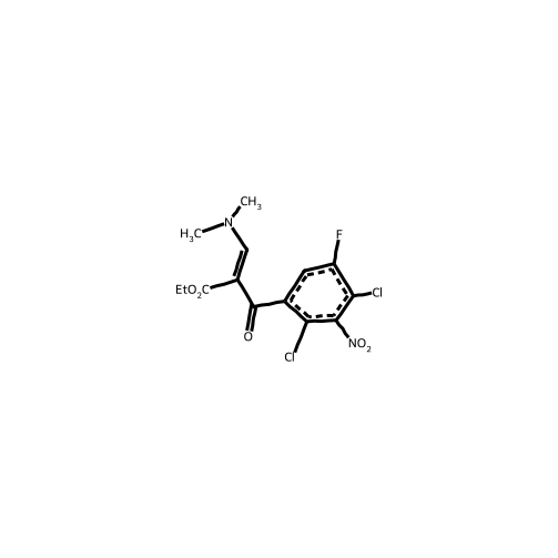 CCOC(=O)C(=CN(C)C)C(=O)c1cc(F)c(Cl)c([N+](=O)[O-])c1Cl